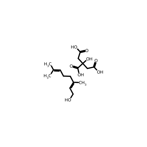 CC(C)=CCCC(C)=CCO.O=C(O)CC(O)(CC(=O)O)C(=O)O